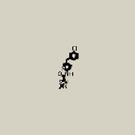 Cc1nnc(C(=O)Nc2ccc(Cc3cccc(Cl)c3)cn2)s1